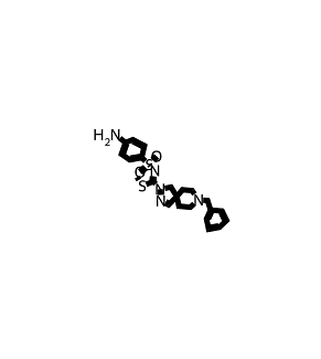 CSC(=NS(=O)(=O)c1ccc(N)cc1)N1CC2(C=N1)CCN(Cc1ccccc1)CC2